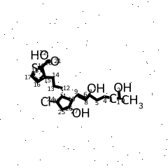 C[C@@H](O)CCC[C@H](O)/C=C/[C@@H]1[C@@H](CCCc2ccsc2C(=O)O)[C@H](Cl)C[C@H]1O